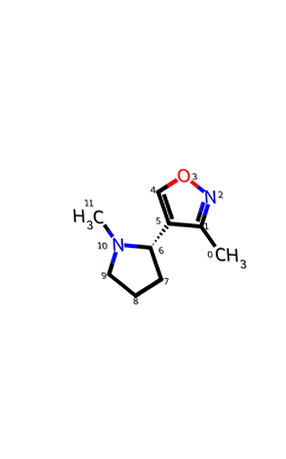 Cc1nocc1[C@@H]1CCCN1C